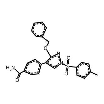 Cc1ccc(S(=O)(=O)n2cc(-c3ccc(C(N)=O)cc3)c(OCc3ccccc3)n2)cc1